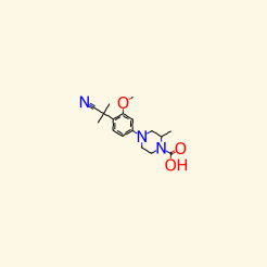 COc1cc(N2CCN(C(=O)O)C(C)C2)ccc1C(C)(C)C#N